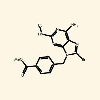 CCNc1nc(N)c2nc(Br)n(Cc3ccc(C(=O)OC)cc3)c2n1